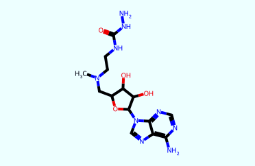 CN(CCNC(=O)NN)CC1OC(n2cnc3c(N)ncnc32)C(O)C1O